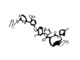 Cc1ccc(C(=O)Nc2ccc(Oc3ccc(O)c(-c4ccnc(N)n4)c3)c(F)c2)c(=O)n1-c1ccc(F)cc1